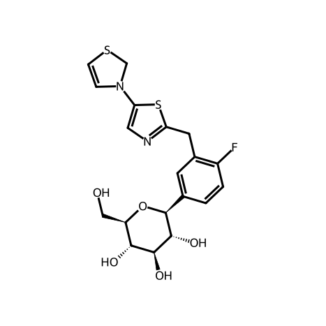 OC[C@H]1O[C@@H](c2ccc(F)c(Cc3ncc(N4C=CSC4)s3)c2)[C@H](O)[C@@H](O)[C@@H]1O